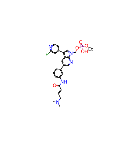 CCOP(=O)(O)OCn1cc(-c2ccnc(F)c2)c2cc(-c3cccc(NC(=O)C=CCN(C)C)c3)cnc21